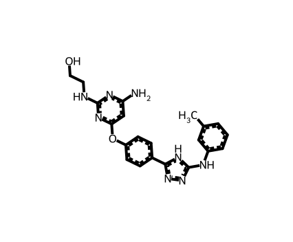 Cc1cccc(Nc2nnc(-c3ccc(Oc4cc(N)nc(NCCO)n4)cc3)[nH]2)c1